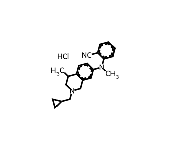 CC1CN(CC2CC2)Cc2cc(N(C)c3ccccc3C#N)ccc21.Cl